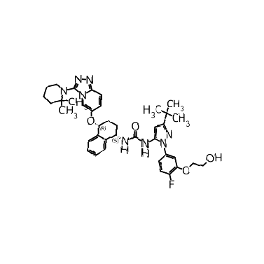 CC(C)(C)c1cc(NC(=O)N[C@H]2CC[C@@H](Oc3ccc4nnc(N5CCCCC5(C)C)n4c3)c3ccccc32)n(-c2ccc(F)c(OCCO)c2)n1